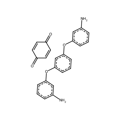 Nc1cccc(Oc2cccc(Oc3cccc(N)c3)c2)c1.O=C1C=CC(=O)C=C1